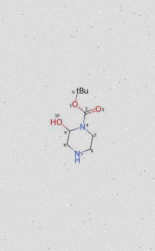 CC(C)(C)OC(=O)N1CCNCC1O